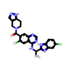 CC(Nc1ncnc2cc(C(=O)N3CCc4[nH]ncc4C3)c(Cl)cc12)c1nc2cc(Cl)ccc2[nH]1